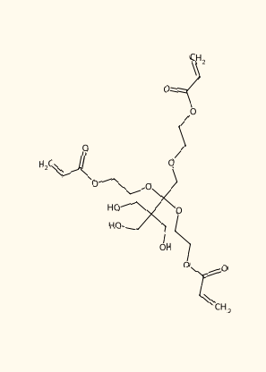 C=CC(=O)OCCOCC(OCCOC(=O)C=C)(OCCOC(=O)C=C)C(CO)(CO)CO